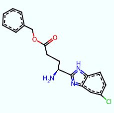 N[C@@H](CCC(=O)OCc1ccccc1)c1nc2cc(Cl)ccc2[nH]1